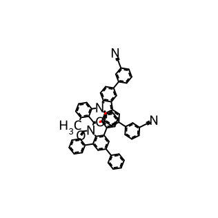 Cc1cccc(-n2c3ccc(-c4cccc(C#N)c4)cc3c3cc(-c4cccc(C#N)c4)ccc32)c1C(=O)N(C=O)c1c(-c2ccccc2)cc(-c2ccccc2)cc1-c1ccccc1